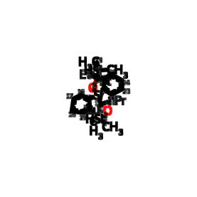 CCCC(O[SiH](C)C)(C(C)CC)[Si](OC(CC)(CC)[SiH](C)C)(c1ccccc1)c1ccccc1